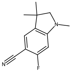 CN1CC(C)(C)c2cc(C#N)c(F)cc21